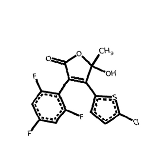 CC1(O)OC(=O)C(c2c(F)cc(F)cc2F)=C1c1ccc(Cl)s1